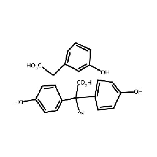 CC(=O)C(C(=O)O)(c1ccc(O)cc1)c1ccc(O)cc1.O=C(O)Cc1cccc(O)c1